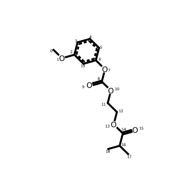 COc1cccc(OC(=O)OCCOC(=O)C(C)C)c1